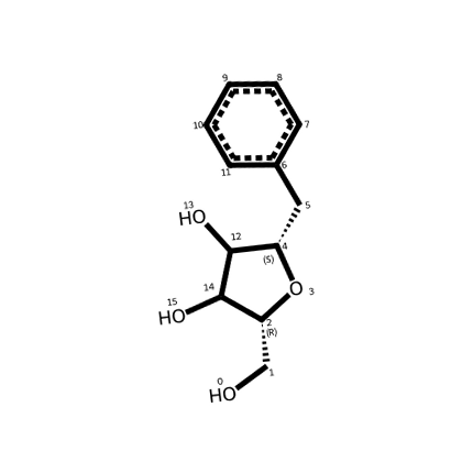 OC[C@H]1O[C@@H](Cc2ccccc2)C(O)C1O